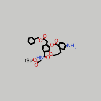 CC(C)(C)OC(=O)CNC(=O)c1ccc(CC(=O)OCc2ccccc2)c2c1OCCCc1cc(N)ccc1C(=O)O2